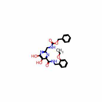 CCOc1ccccc1CNC(=O)c1nc(CNC(=O)OCc2ccccc2)nc(O)c1O